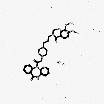 CCN(CCCC1CCN(CC(=O)N2c3ccccc3C(=O)Nc3cccnc32)CC1)C(=O)c1ccc(OC)c(OC)c1.Cl.Cl